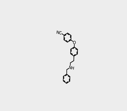 N#Cc1ccc(Oc2ccc(CCNCc3ccccc3)cc2)cc1